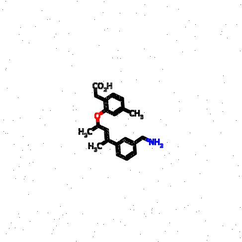 C/C(=C\C(C)Oc1cc(C)ccc1CC(=O)O)c1cccc(CN)c1